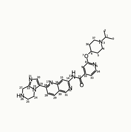 CC(C)N1CCC(Oc2cc(C(=O)Nc3cc4nc(-c5cnc6n5CCNC6)ccc4cn3)ccn2)CC1